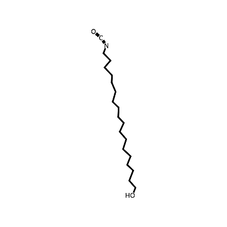 O=C=NCCCCCCCCCCCCCCCCCCO